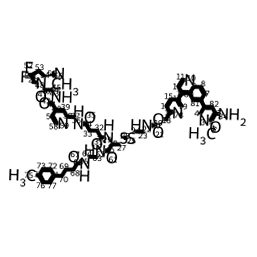 COc1ncc(-c2ccc3nccc(-c4ccc(COC(=O)NCCSSCC(NC(=O)CCC(=O)NCc5cc(C(=O)NC(C)C(=O)N6CC(F)(F)C[C@H]6C#N)ccn5)C(=O)NCCNC(=O)CCCc5ccc(C)cc5)nc4)c3c2)cc1N